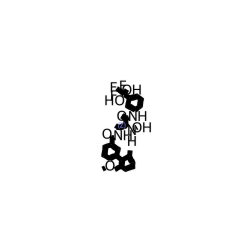 COc1ccc(C(=O)N/C(C)=C(\NO)C(=O)Nc2cccc(C(O)(O)C(F)(F)F)c2)cc1-c1c(C)cccc1C